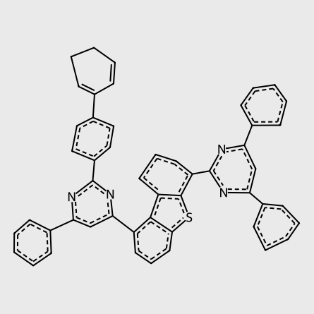 C1=CC(c2ccc(-c3nc(-c4ccccc4)cc(-c4cccc5sc6c(-c7nc(-c8ccccc8)cc(-c8ccccc8)n7)cccc6c45)n3)cc2)=CCC1